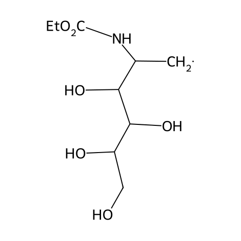 [CH2]C(NC(=O)OCC)C(O)C(O)C(O)CO